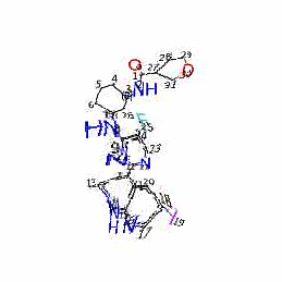 O=C(N[C@@H]1CCC[C@H](Nc2nc(-c3c[nH]c4ncc(I)cc34)ncc2F)C1)C1CCOC1